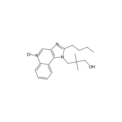 CCCCc1nc2c[n+]([O-])c3ccccc3c2n1CC(C)(C)CO